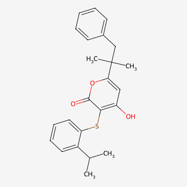 CC(C)c1ccccc1Sc1c(O)cc(C(C)(C)Cc2ccccc2)oc1=O